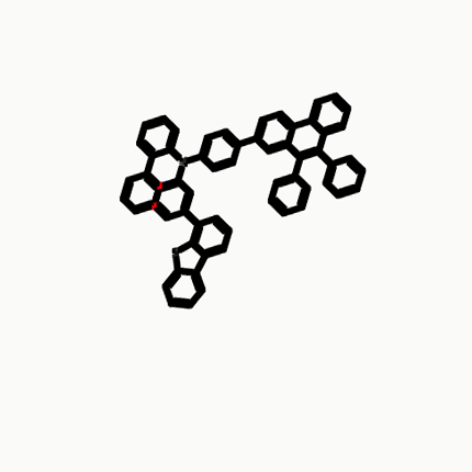 c1ccc(-c2ccccc2N(c2ccc(-c3ccc4c(c3)c(-c3ccccc3)c(-c3ccccc3)c3ccccc34)cc2)c2cccc(-c3cccc4c3sc3ccccc34)c2)cc1